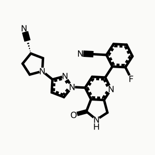 N#Cc1cccc(F)c1-c1cc(-n2ccc(N3CC[C@H](C#N)C3)n2)c2c(n1)CNC2=O